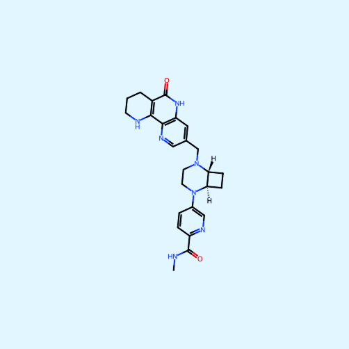 CNC(=O)c1ccc(N2CCN(Cc3cnc4c5c(c(=O)[nH]c4c3)CCCN5)[C@@H]3CC[C@H]32)cn1